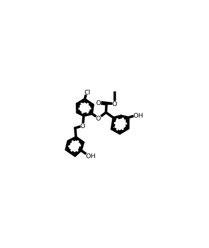 COC(=O)C(Oc1cc(Cl)ccc1OCc1cccc(O)c1)c1cccc(O)c1